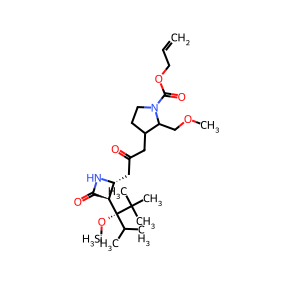 C=CCOC(=O)N1CCC(CC(=O)C[C@H]2NC(=O)[C@@H]2[C@](O[SiH3])(C(C)C)C(C)(C)C)C1COC